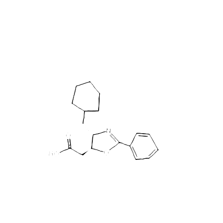 O=C(O)C[C@@H]1OC(c2ccccc2)=N[C@H]1CC1CCCCC1